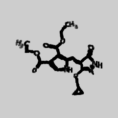 CCOC(=O)c1c[nH]c(C=C2C(=O)NN=C2OC2CC2)c1C(=O)OCC